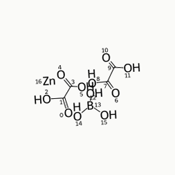 O=C(O)C(=O)O.O=C(O)C(=O)O.OB(O)O.[Zn]